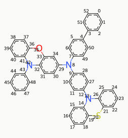 c1ccc(-c2ccc(N(c3ccc(N4c5ccccc5Sc5ccccc54)cc3)c3ccc4c(c3)Oc3ccccc3N4c3ccccc3)cc2)cc1